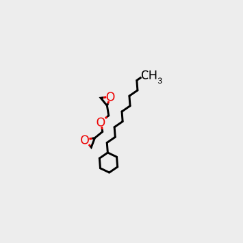 C(OCC1CO1)C1CO1.CCCCCCCCCCC1CCCCC1